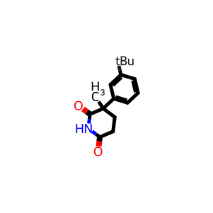 CC(C)(C)c1cccc(C2(C)CCC(=O)NC2=O)c1